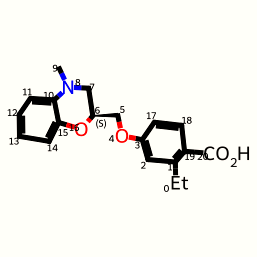 CCc1cc(OC[C@@H]2CN(C)c3ccccc3O2)ccc1C(=O)O